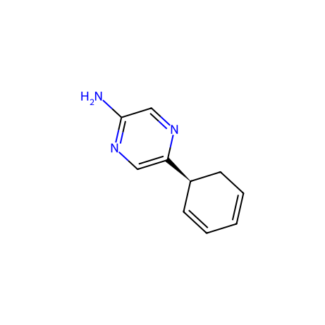 Nc1cnc([C@@H]2C=CC=CC2)cn1